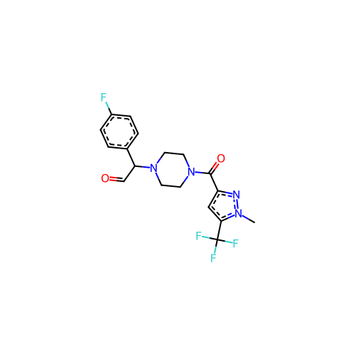 Cn1nc(C(=O)N2CCN(C(C=O)c3ccc(F)cc3)CC2)cc1C(F)(F)F